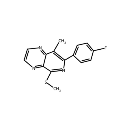 CSc1nc(-c2ccc(F)cc2)c(C)c2nccnc12